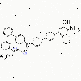 C=C/C(=C\C=C/N(C1C=CC(C2C=CC(C3=C4C=CCCC4C(N)C(O)=C3)CC2)=CC1)C1CC=C(c2ccccc2)CC1)C1C=CCCC1